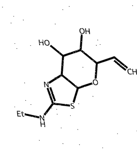 C=CC1OC2SC(NCC)=NC2C(O)C1O